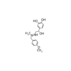 COc1ccc(CN(C)NCC(O)c2ccc(O)c(O)c2)cc1